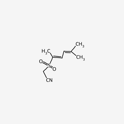 CC(C)=C/C=C(\C)S(=O)(=O)CC#N